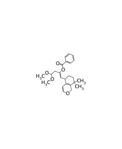 COC(CC(=CC1CCC(C)(C)C2=C1C=COC2)OC(=O)c1ccccc1)OC